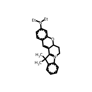 CCN(CC)c1ccc2c(c1)OC1CC[N+]3=C(C1=C2)C(C)(C)c1ccccc13